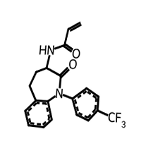 C=CC(=O)NC1CCc2ccccc2N(c2ccc(C(F)(F)F)cc2)C1=O